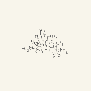 CC(C)C[C@H](N)C(N)=O.CC(C)[C@H](N)C(=O)O.C[C@H](N)C(=O)O.NCC(=O)O